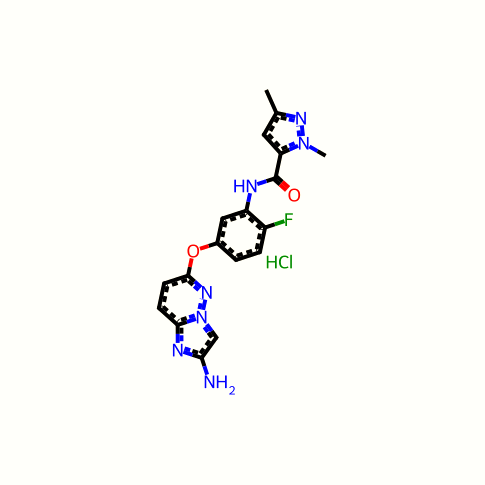 Cc1cc(C(=O)Nc2cc(Oc3ccc4nc(N)cn4n3)ccc2F)n(C)n1.Cl